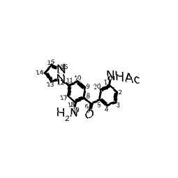 CC(=O)Nc1cccc(C(=O)c2ccc(-n3cccn3)cc2N)c1